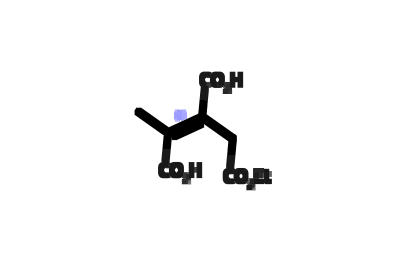 CCOC(=O)C/C(C(=O)O)=C(/C)C(=O)O